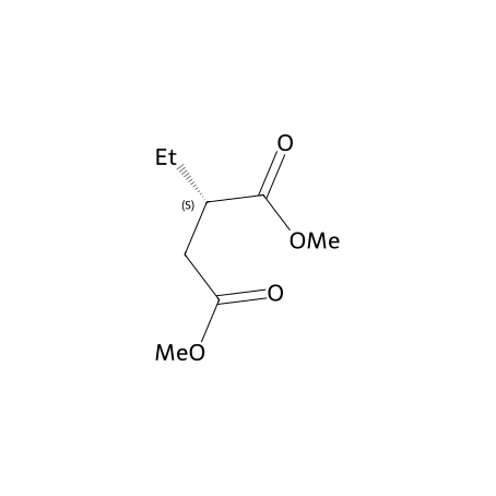 CC[C@@H](CC(=O)OC)C(=O)OC